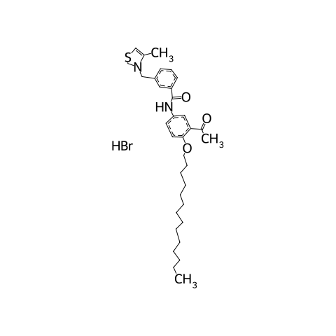 Br.CCCCCCCCCCCCCCOc1ccc(NC(=O)c2cccc(CN3CSC=C3C)c2)cc1C(C)=O